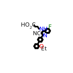 CCOc1ccccc1-c1ccc(-c2nc3ccc(F)cc3c(NCCCC(=O)O)c2C#N)cc1